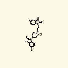 Cl.O=c1[nH]c2cc(F)ccc2n1CCCN1CCC(n2c(=O)[nH]c3cc(Cl)ccc32)CC1